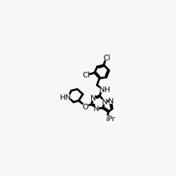 CC(C)c1cnn2c(NCc3ccc(Cl)cc3Cl)nc(OC3CCCNC3)nc12